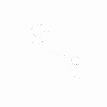 Fc1ccc2c(C3CN(CCc4nnc5c(F)ccc(F)n45)C3)c[nH]c2c1